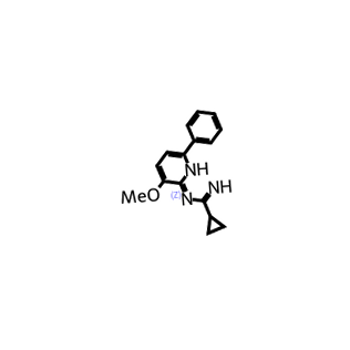 COc1ccc(-c2ccccc2)[nH]/c1=N\C(=N)C1CC1